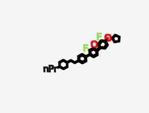 CCCC1CCC(CCc2ccc(-c3ccc4c(oc5c(F)c(OC6CCCC6)ccc54)c3F)cc2)CC1